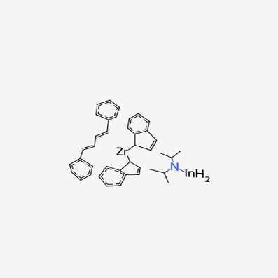 C(C=Cc1ccccc1)=Cc1ccccc1.C1=C[CH]([Zr][CH]2C=Cc3ccccc32)c2ccccc21.CC(C)[N]([InH2])C(C)C